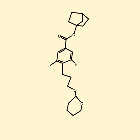 O=C(OC12CCC(CC1)C2)c1cc(F)c(CCCOC2CCCCO2)c(F)c1